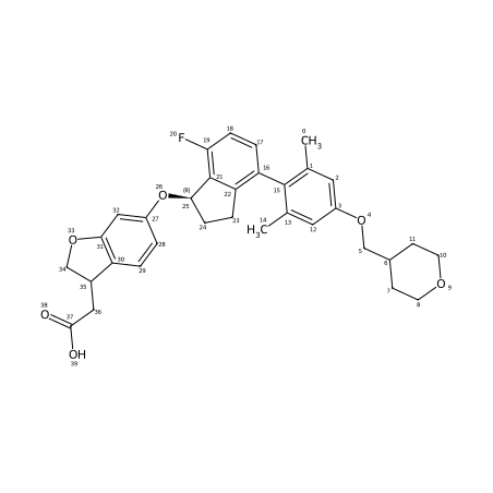 Cc1cc(OCC2CCOCC2)cc(C)c1-c1ccc(F)c2c1CC[C@H]2Oc1ccc2c(c1)OCC2CC(=O)O